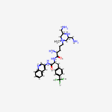 C[N+]1(CCC[C@H](N)C(=O)N[C@@H](Cc2ccc(C(F)(F)F)cc2)C(=O)Nc2cnc3ccccc3c2)CC(CN)NC(CN)C1